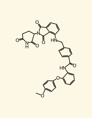 COc1ccc(Oc2ccccc2NC(=O)c2ccc(CNc3cccc4c3C(=O)N(C3CCC(=O)NC3=O)C4=O)cc2)cc1